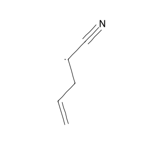 C=CC[CH]C#N